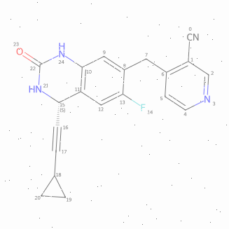 N#Cc1cnccc1Cc1cc2c(cc1F)[C@H](C#CC1CC1)NC(=O)N2